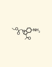 CCOC(=O)Cn1cc(C(C)=O)c2cc(N)ccc21